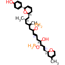 C=C(CC(/C=C/C[C@@H](O)[C@H](/C=C/[C@@H]1CC(C)=CCO1)OP)OP)C[C@H](C)C[C@@H]1CC=C[C@@H](c2ccc(O)cc2)O1